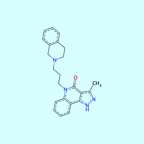 Cc1n[nH]c2c1c(=O)n(CCCN1CCc3ccccc3C1)c1ccccc21